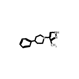 Cc1n[nH]cc1N1CCC(c2ccccc2)CC1